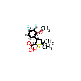 COc1c(C2CC(C)(C)SC2C(=O)O)ccc(F)c1F